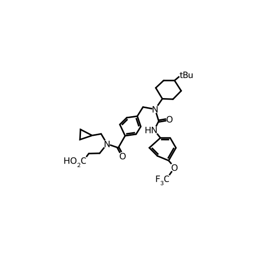 CC(C)(C)C1CCC(N(Cc2ccc(C(=O)N(CCC(=O)O)CC3CC3)cc2)C(=O)Nc2ccc(OC(F)(F)F)cc2)CC1